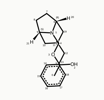 CC(O)OCN1[C@@H]2CC[C@H]1CN(Cc1ccccc1)C2